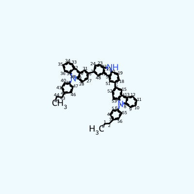 CCCc1ccc(-n2c3ccccc3c3cc(-c4ccc5[nH]c6ccc(-c7ccc8c(c7)c7ccccc7n8-c7ccc(CCC)cc7)cc6c5c4)ccc32)cc1